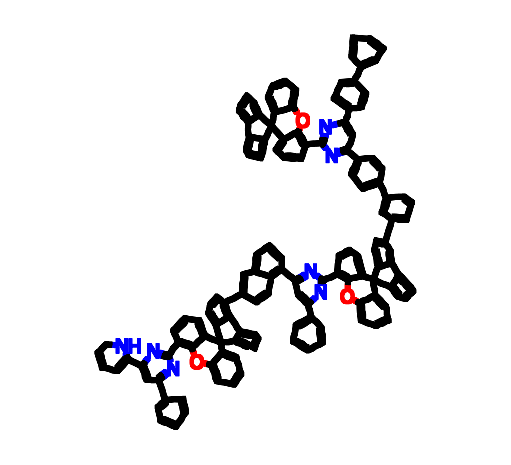 C1=CCNC(c2cc(-c3ccccc3)nc(-c3cccc4c3Oc3ccccc3C43c4ccccc4-c4c(-c5ccc6c(-c7cc(-c8ccccc8)nc(-c8cccc9c8Oc8ccccc8C98c9ccccc9-c9cc(-c%10cccc(-c%11ccc(-c%12cc(-c%13ccc(-c%14ccccc%14)cc%13)nc(-c%13cccc%14c%13Oc%13ccccc%13C%14%13c%14ccccc%14-c%14ccccc%14%13)n%12)cc%11)c%10)ccc98)n7)cccc6c5)cccc43)n2)=C1